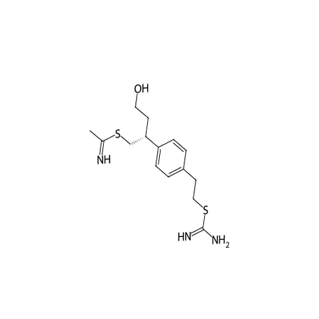 CC(=N)SC[C@H](CCO)c1ccc(CCSC(=N)N)cc1